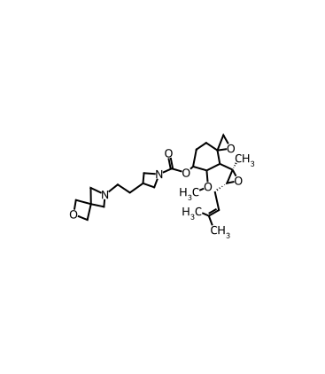 COC1C(OC(=O)N2CC(CCN3CC4(COC4)C3)C2)CCC2(CO2)C1[C@@]1(C)O[C@@H]1CC=C(C)C